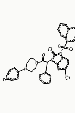 N#Cc1ccc2c(c1)n(C(C(=O)N1CCN(c3ccncc3)CC1)c1ccccc1)c(=O)n2S(=O)(=O)c1cccc2cccnc12